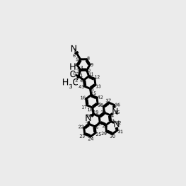 CC1(C)c2cc(C#N)ccc2-c2ccc(-c3ccc(-c4nc5ccccc5c5c6cccnc6c6ncccc6c45)cc3)cc21